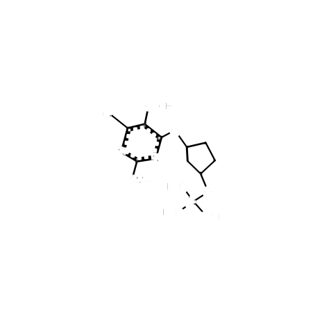 CSc1nc(Cl)c(C(=O)O)c(OC2CCC(O[Si](C)(C)C(C)(C)C)C2)n1